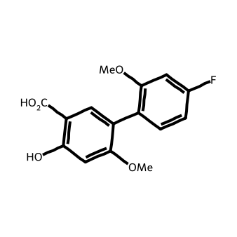 COc1cc(F)ccc1-c1cc(C(=O)O)c(O)cc1OC